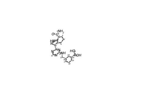 N[S+]([O-])c1cccc2c(-c3ncnc(NCc4cccc(B(O)O)c4)n3)n[nH]c12